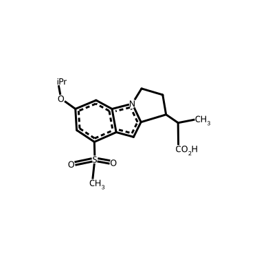 CC(C)Oc1cc(S(C)(=O)=O)c2cc3n(c2c1)CCC3C(C)C(=O)O